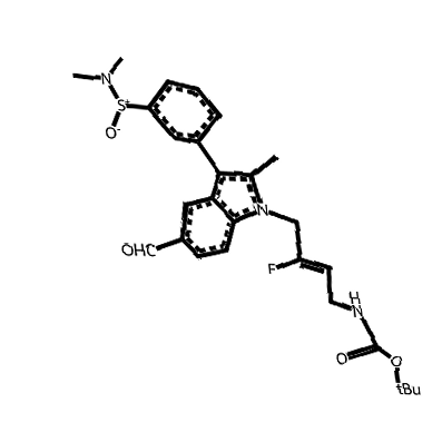 Cc1c(-c2cccc([S+]([O-])N(C)C)c2)c2cc(C=O)ccc2n1C/C(F)=C/CNC(=O)OC(C)(C)C